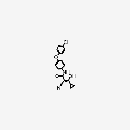 N#CC(C(=O)Nc1ccc(Oc2ccc(Cl)cc2)cc1)=C(O)C1CC1